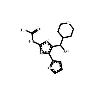 O=C(O)Nc1nc(-c2ccco2)c(C(O)C2CCSCC2)s1